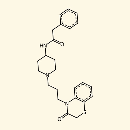 O=C(Cc1ccccc1)NC1CCN(CCCN2C(=O)CSc3ccccc32)CC1